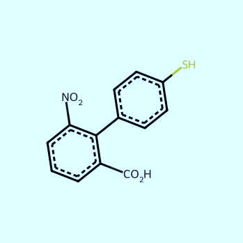 O=C(O)c1cccc([N+](=O)[O-])c1-c1ccc(S)cc1